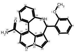 COc1ccccc1C1Nc2ccccc2-c2c(C(N)=O)cnn3ccc1c23